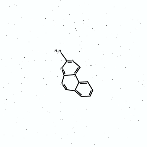 Nc1ncc2c(ncc3ccccc32)n1